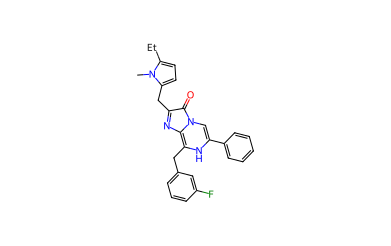 CCc1ccc(Cc2nc3c(Cc4cccc(F)c4)[nH]c(-c4ccccc4)cn-3c2=O)n1C